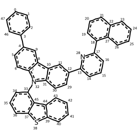 c1ccc(-c2ccc3c(c2)c2cc(-c4cccc(-c5cccc6ccccc56)n4)ccc2n3-c2cccc3sc4ccccc4c23)cc1